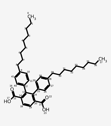 CCCCCCCCCc1ccc(-c2c(C(=O)O)ccc(C(=O)O)c2-c2ccc(CCCCCCCCC)cc2)cc1